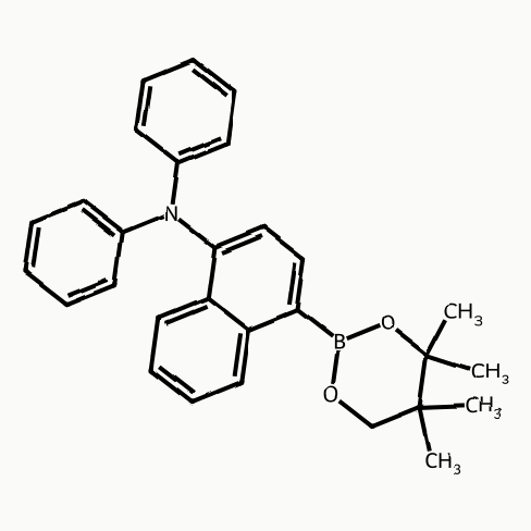 CC1(C)COB(c2ccc(N(c3ccccc3)c3ccccc3)c3ccccc23)OC1(C)C